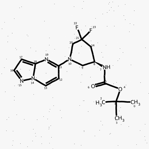 CC(C)(C)OC(=O)N[C@H]1CN(c2ccn3nccc3n2)CC(F)(F)C1